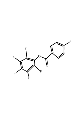 O=C(Oc1c(F)c(F)c(F)c(F)c1F)c1ccc(F)cc1